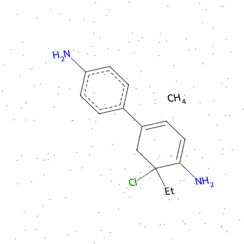 C.CCC1(Cl)CC(c2ccc(N)cc2)=CC=C1N